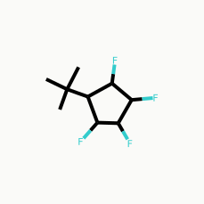 CC(C)(C)C1C(F)C(F)C(F)C1F